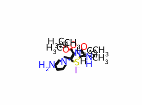 C[Si](C)(C)NC1C(=O)N2C(C(=O)O[Si](C)(C)C)=C(C[n+]3cccc(N)c3)CS[C@@H]12.[I-]